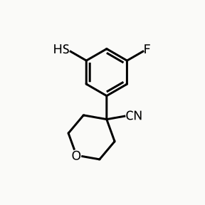 N#CC1(c2cc(F)cc(S)c2)CCOCC1